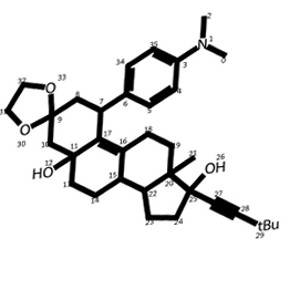 CN(C)c1ccc(C2CC3(CC4(O)CCC5C(=C24)CCC2(C)C5CCC2(O)C#CC(C)(C)C)OCCO3)cc1